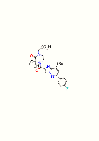 CC(C)(C)c1cc(-c2ccc(F)cc2)nn2cc(C(=O)N3CCN(CC(=O)O)C(=O)C3(C)C)nc12